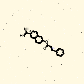 N=C(N)c1ccc2cc(OC(=O)/C=C/c3ccccc3)ccc2c1